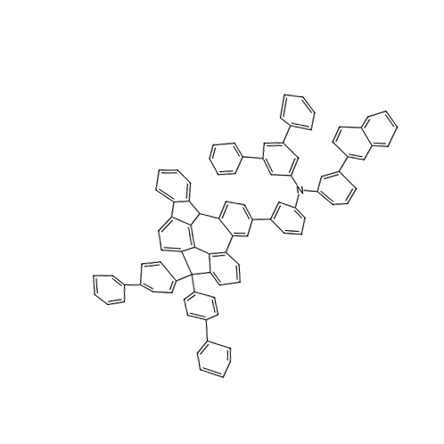 c1ccc(-c2ccc(C3(c4ccc(-c5ccccc5)cc4)c4cccc5c4-c4c3ccc3c4C(c4ccc(-c6cccc(N(c7cccc(-c8ccc9ccccc9c8)c7)c7cc(-c8ccccc8)cc(-c8ccccc8)c7)c6)cc4-5)c4ccccc4-3)cc2)cc1